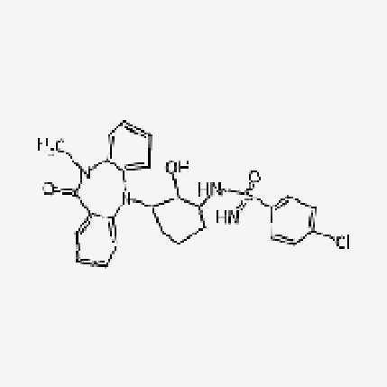 CN1C(=O)c2ccccc2N(C2CCCC(NS(=N)(=O)c3ccc(Cl)cc3)C2O)c2ccccc21